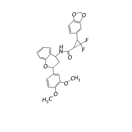 COc1ccc(C2CC(NC(=O)C3C(c4ccc5c(c4)OCO5)C3(F)F)c3ccccc3O2)cc1OC